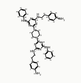 Nc1ccc(CCNc2nc(Nc3ccccc3)nc(N3CCN(c4nc(NCCc5ccc(N)cc5)nc(Nc5ccccc5)n4)CC3)n2)cc1